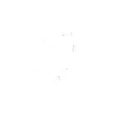 CC(C(=O)O)c1cc(I)c(O)c(I)c1